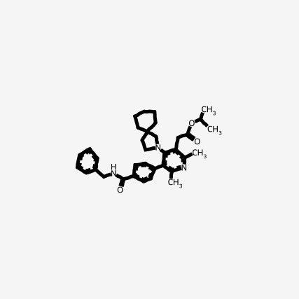 Cc1nc(C)c(-c2ccc(C(=O)NCc3ccccc3)cc2)c(N2CCC3(CCCCC3)C2)c1CC(=O)OC(C)C